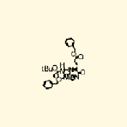 CNC(=O)[C@@H](CCC(=O)OCc1ccccc1)NC(=O)[C@@H](COCc1ccccc1)NC(=O)OC(C)(C)C